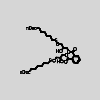 CCCCCCCCCCCCCCCCSOCC(O)COC(=O)c1ccccc1C(=O)OCC(O)COSCCCCCCCCCCCCCCCC